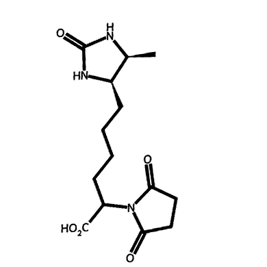 C[C@@H]1NC(=O)N[C@@H]1CCCCC(C(=O)O)N1C(=O)CCC1=O